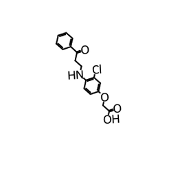 O=C(O)COc1ccc(NCCC(=O)c2ccccc2)c(Cl)c1